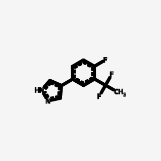 CC(F)(F)c1cc(-c2cn[nH]c2)ccc1F